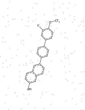 CCCc1ccc2cc(-c3ccc(-c4ccc(OC(F)(F)F)c(F)c4)cc3)ccc2c1